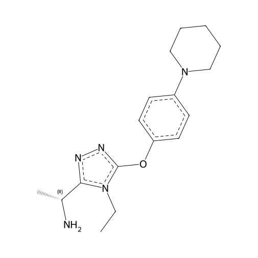 CCn1c(Oc2ccc(N3CCCCC3)cc2)nnc1[C@@H](C)N